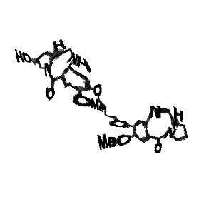 COc1cc2c(cc1OCCCCOc1cc3c(cc1OC)C(=O)N1C[C@H](O)C[C@H]1CN3)N=C[C@@H]1CCCN1C2=O